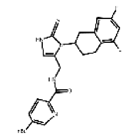 CCCCc1ccc(C(=O)NCc2c[nH]c(=S)n2C2CCc3c(F)cc(F)cc3C2)nc1